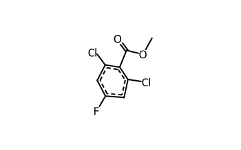 COC(=O)c1c(Cl)cc(F)cc1Cl